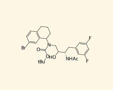 CC(=O)N[C@@H](Cc1cc(F)cc(F)c1)C(O)CN(C(=O)OC(C)(C)C)C1CCCc2ccc(Br)cc21